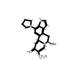 CC(C)(C)[C@@H]1Cc2c(cc(N3CCCC3)c3sccc23)-c2cc(=O)c(C(=O)O)cn21